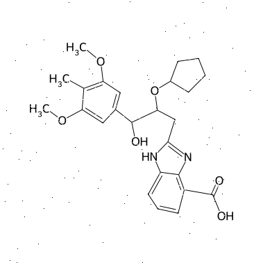 COc1cc(C(O)C(Cc2nc3c(C(=O)O)cccc3[nH]2)OC2CCCC2)cc(OC)c1C